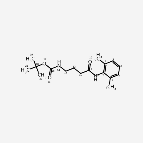 Cc1cccc(C)c1NC(=O)CCCNC(=O)OC(C)(C)C